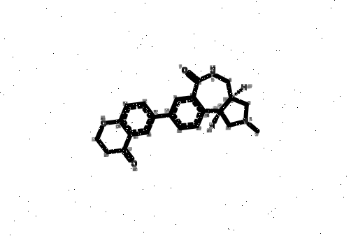 CN1C[C@@H]2CNC(=O)c3cc(-c4ccc5c(c4)C(=O)CCO5)ccc3[C@H]2C1